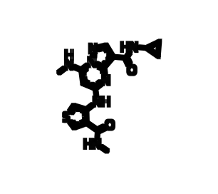 CNC(=O)c1cscc1Nc1cc(NC)n2ncc(C(=O)NC3CC3)c2n1